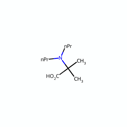 CCCN(CCC)C(C)(C)C(=O)O